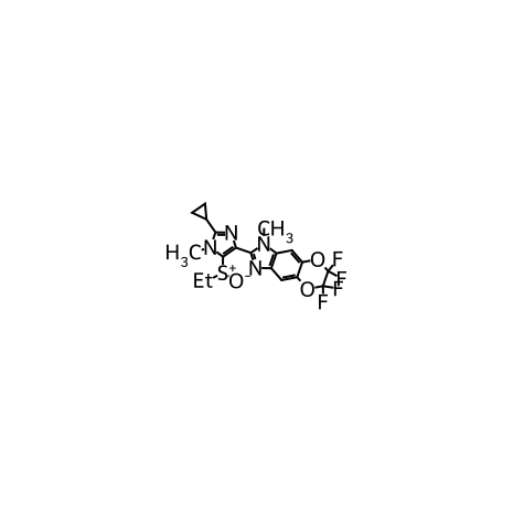 CC[S+]([O-])c1c(-c2nc3cc4c(cc3n2C)OC(F)(F)C(F)(F)O4)nc(C2CC2)n1C